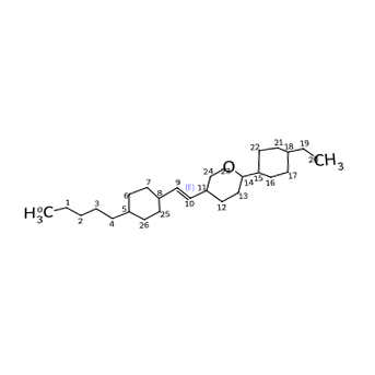 CCCCCC1CCC(/C=C/C2CCC(C3CCC(CC)CC3)OC2)CC1